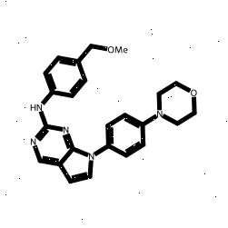 COCc1ccc(Nc2ncc3ccn(-c4ccc(N5CCOCC5)cc4)c3n2)cc1